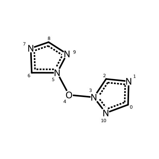 c1ncn(On2cncn2)n1